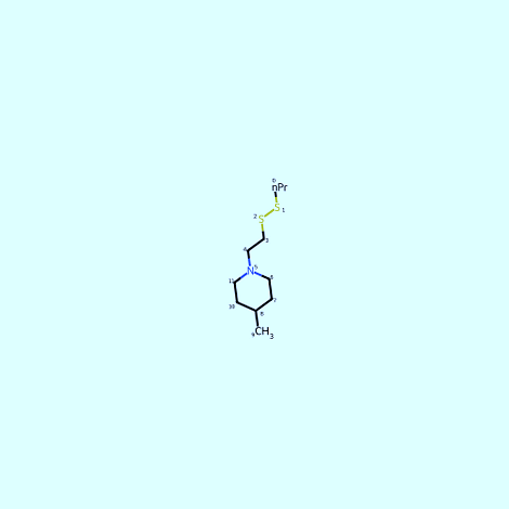 CCCSSCCN1CCC(C)CC1